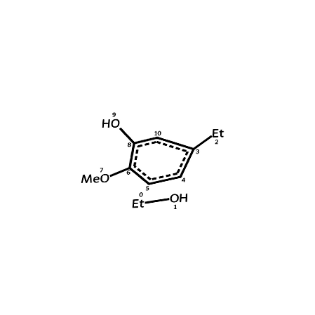 CCO.CCc1ccc(OC)c(O)c1